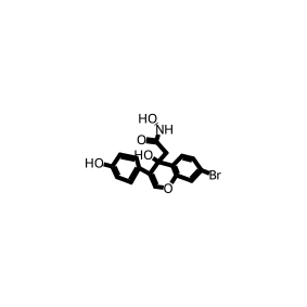 O=C(CC1(O)C(c2ccc(O)cc2)=COc2cc(Br)ccc21)NO